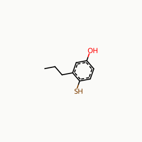 CCCc1cc(O)ccc1S